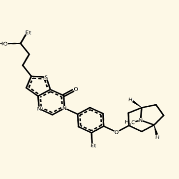 CCc1cc(-n2cnc3cc(CCC(O)CC)sc3c2=O)ccc1OC1C[C@H]2CC[C@@H](C1)N2C